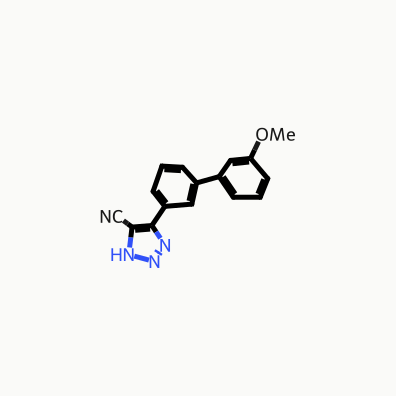 COc1cccc(-c2cccc(-c3nn[nH]c3C#N)c2)c1